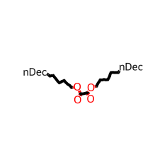 CCCCCCCCCCCCCCCOC(=O)C(=O)OCCCCCCCCCCCCCCC